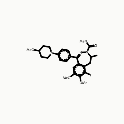 CNC(=O)N1N=C(c2ccc(N3CCC(OC)CC3)cc2)c2cc(OC)c(OC)c(F)c2CC1C